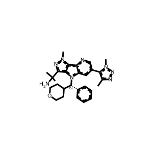 Cc1nnn(C)c1-c1cnc2c3c(c(C(C)(C)N)nn3C)n([C@H](c3ccccc3)C3CCOCC3)c2c1